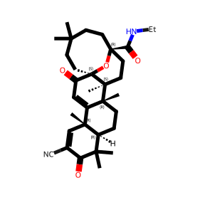 CCNC(=O)[C@]12CCC(C)(C)CC[C@@]3(O1)C(=O)C=C1[C@@]4(C)C=C(C#N)C(=O)C(C)(C)[C@@H]4CC[C@@]1(C)[C@]3(C)CC2